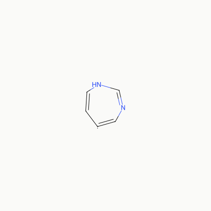 [C]1=CN=CNC=C1